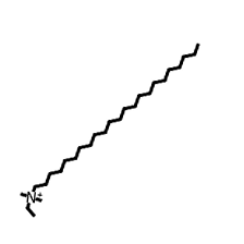 CCCCCCCCCCCCCCCCCCCCCCC[N+](C)(C)CC